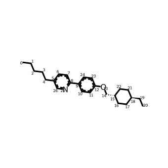 CCCCCc1ccc(-c2ccc(OC[C@H]3CC[C@H](CC)CC3)cc2)nc1